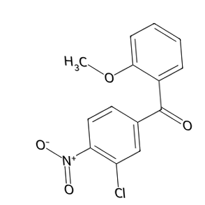 COc1ccccc1C(=O)c1ccc([N+](=O)[O-])c(Cl)c1